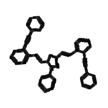 C(#Cc1ccccc1C=CC1=NN(c2ccccc2)C(C=Cc2ccccc2C#Cc2ccccc2)C1)c1ccccc1